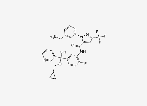 NCc1cccc(-n2nc(C(F)(F)F)cc2C(=O)Nc2cc(C(O)(OCC3CC3)c3cccnc3)ccc2F)c1